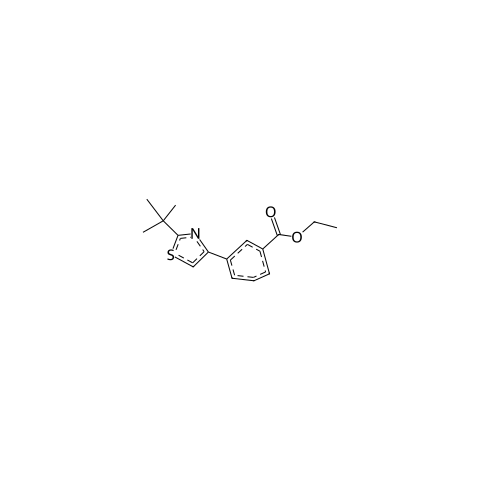 CCOC(=O)c1cccc(-c2csc(C(C)(C)C)n2)c1